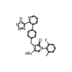 CCCCc1cn(-c2c(C)cccc2F)c(=O)n1Cc1ccc(-c2cccnc2-c2nnn[nH]2)cc1